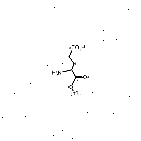 CC(C)(C)OC(=O)C(N)CCC(=O)O